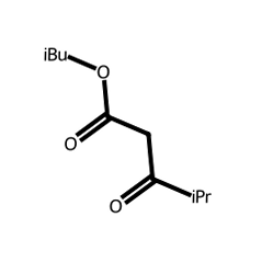 CCC(C)OC(=O)CC(=O)C(C)C